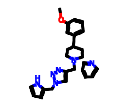 COc1cccc(C2CCN(Cc3cn(Cc4ccc[nH]4)nn3)CC2)c1.c1ccncc1